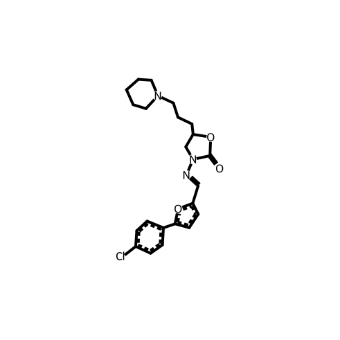 O=C1OC(CCCN2CCCCC2)CN1/N=C/c1ccc(-c2ccc(Cl)cc2)o1